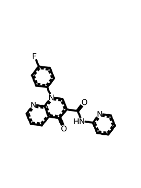 O=C(Nc1ccccn1)c1cn(-c2ccc(F)cc2)c2ncccc2c1=O